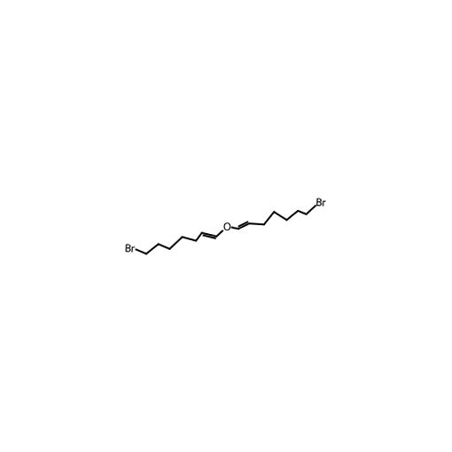 BrCCCCCC=COC=CCCCCCBr